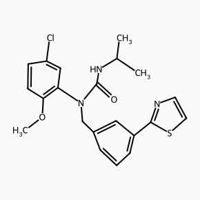 COc1ccc(Cl)cc1N(Cc1cccc(-c2nccs2)c1)C(=O)NC(C)C